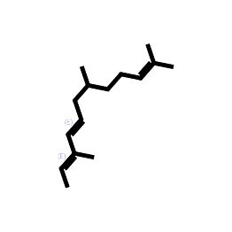 C/C=C(C)/C=C/CC(C)CCC=C(C)C